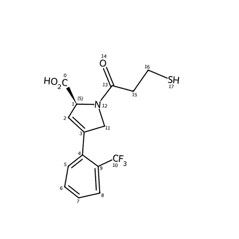 O=C(O)[C@@H]1C=C(c2ccccc2C(F)(F)F)CN1C(=O)CCS